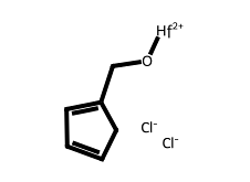 [Cl-].[Cl-].[Hf+2][O]CC1=CC=CC1